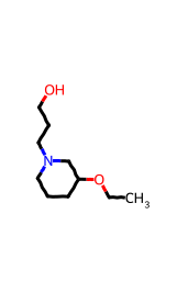 CCOC1CCCN(CCCO)C1